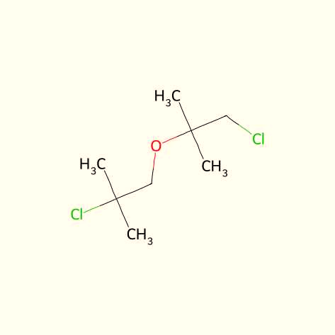 CC(C)(Cl)COC(C)(C)CCl